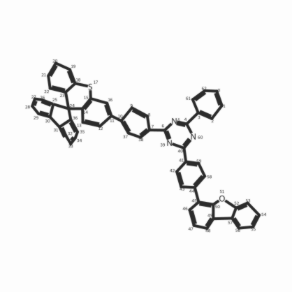 c1ccc(-c2nc(-c3ccc(-c4ccc5c(c4)Sc4ccccc4C54c5ccccc5-c5ccccc54)cc3)nc(-c3ccc(-c4cccc5c4oc4ccccc45)cc3)n2)cc1